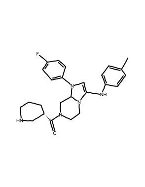 Cc1ccc(NC2=CN(c3ccc(F)cc3)C3CN(C(=O)[C@H]4CCCNC4)CCN23)cc1